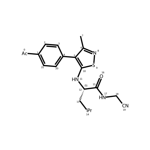 CC(=O)c1ccc(-c2c(C)nsc2N[C@@H](CC(C)C)C(=O)NCC#N)cc1